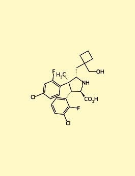 C[C@]1(c2ccc(Cl)cc2F)[C@H](CC2(CO)CCC2)N[C@@H](C(=O)O)[C@@H]1c1cccc(Cl)c1F